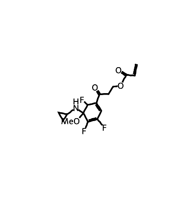 C=CC(=O)OCCC(=O)C1=CC(F)=C(F)C(NC2CC2)(OC)C1F